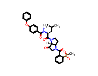 CC(C)C[C@H](NC(=O)c1ccc(Oc2ccccc2)cc1)C(=O)N1CCC2[C@H]1C(=O)CN2C(=O)c1ccccc1S(C)(=O)=O